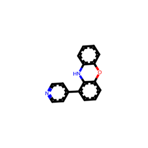 c1ccc2c(c1)Nc1c(cccc1-c1ccncc1)O2